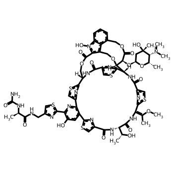 CO/C(C)=C1/NC(=O)[C@H]([C@@H](C)O)NC(=O)c2csc(n2)-c2cc(O)c(-c3nc(CNC(=O)[C@@H](C)NC(N)=O)cs3)nc2-c2csc(n2)[C@@H]2COC(=O)c3c4c5c(cccc5n3O)COC(=O)[C@@H](O[C@H]3C[C@](C)(O)[C@H](N(C)C)[C@H](C)O3)[C@@H](OC4)[C@H](NC(=O)c3csc1n3)c1nc(cs1)C(=O)N2